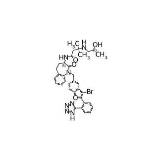 C[C@@H](O)CNC(C)(C)CC(=O)N[C@@H]1CCc2ccccc2N(Cc2ccc3oc(-c4ccccc4-c4nnn[nH]4)c(Br)c3c2)C1=O